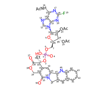 CC[C@@]1(OP(=O)(O)OC[C@H]2O[C@@H](n3cnc4c(NC(C)=O)nc(F)nc43)[C@@H](OC(C)=O)[C@@H]2OC(C)=O)C(=O)OCc2c1cc1n(c2=O)Cc2cc3ccccc3nc2-1